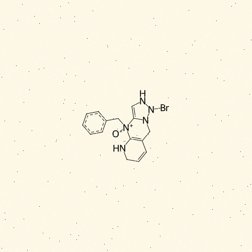 [O-][N+]1(Cc2ccccc2)C2=CNN(Br)N2CC2=C1NCC=C2